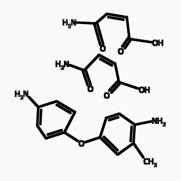 Cc1cc(Oc2ccc(N)cc2)ccc1N.NC(=O)/C=C\C(=O)O.NC(=O)/C=C\C(=O)O